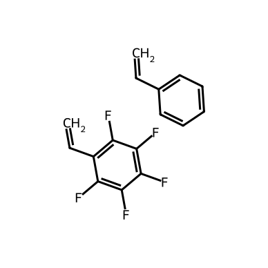 C=Cc1c(F)c(F)c(F)c(F)c1F.C=Cc1ccccc1